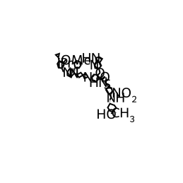 COc1cc(CN2CCN(C3CC4(C3)CN(c3ccc(C(=O)NSc5ccc(NC[C@H]6CC[C@](C)(O)CC6)c([N+](=O)[O-])c5)c(Oc5cnc6[nH]ccc6c5)c3)C4)[C@H](c3ccccc3C(C)C)C2)ccc1C1CC1